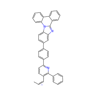 C/C=C\c1ccc(-c2ccc(-c3ccc4c(c3)nc3c5ccccc5c5ccccc5n43)cc2)nc1-c1ccccc1